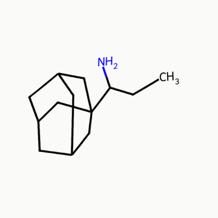 CCC(N)C12CC3CC(CC(C3)C1)C2